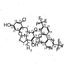 CC12CCCN1N(Cc1c(Cl)cc(O)cc1Cl)C(=O)C(C(=O)Nc1cnc(C(F)(F)F)nc1-c1ccc(C(F)(F)F)nc1)=C2O